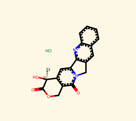 CC[C@@]1(O)C(=O)OCc2c1cc1n(c2=O)Cc2cc3ccccc3nc2-1.Cl